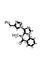 CC(C)Cc1cn(C2=C3N(C)C(=O)c4ccccc4[N+]3C=N2)nn1